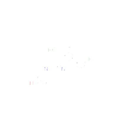 Cl.O=C(O)[C@@H]1CCCN(CCON=C(Cc2ccc(F)cc2)c2ccc(F)cc2)C1